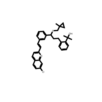 CC1(CSC(CCc2ccccc2C(C)(C)O)c2cccc(/C=C/c3ccc4ccc(Cl)cc4n3)c2)CC1